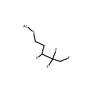 CC(=O)SCCC(F)C(F)(F)CF